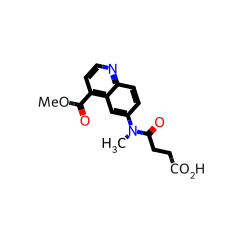 COC(=O)c1ccnc2ccc(N(C)C(=O)CCC(=O)O)cc12